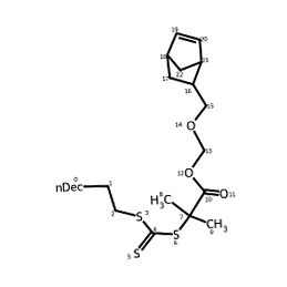 CCCCCCCCCCCCSC(=S)SC(C)(C)C(=O)OCOCC1CC2C=CC1C2